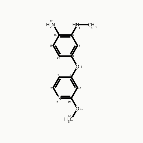 CNc1cc(Oc2ccnc(OC)c2)ccc1N